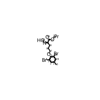 Cc1cc(Br)c(OCCCC(=NO)C(=O)OC(C)C)c(Br)c1